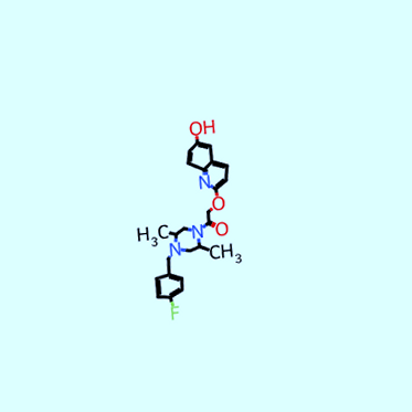 CC1CN(C(=O)COc2ccc3cc(O)ccc3n2)C(C)CN1Cc1ccc(F)cc1